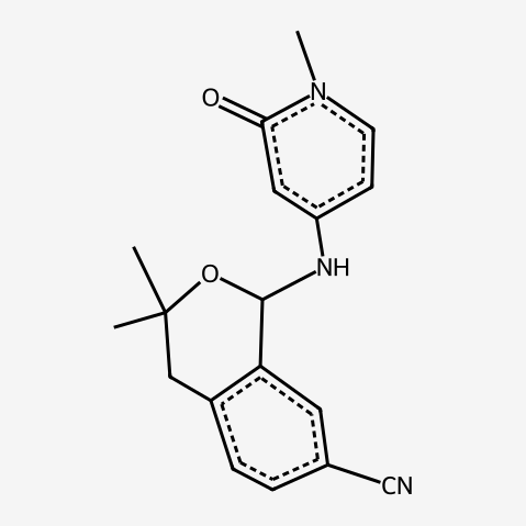 Cn1ccc(NC2OC(C)(C)Cc3ccc(C#N)cc32)cc1=O